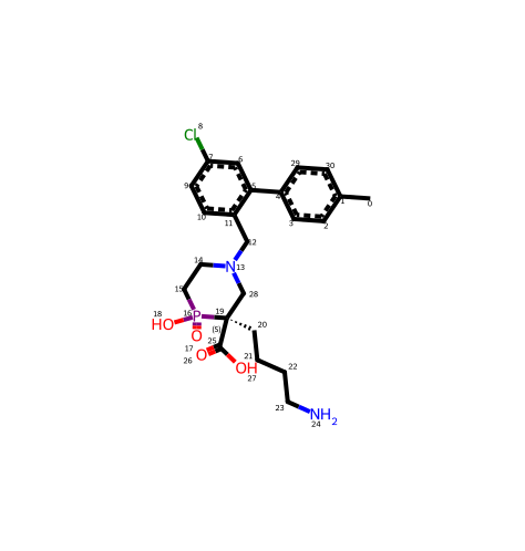 Cc1ccc(-c2cc(Cl)ccc2CN2CCP(=O)(O)[C@](CCCCN)(C(=O)O)C2)cc1